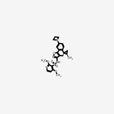 COc1ccnc(OC)c1S(=O)(=O)Nc1noc2c1C[C@]1(C[C@H]1C)c1ccc(N3CCC3)cc1-2